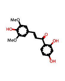 COc1cc(/C=C/C(=O)c2ccc(O)cc2O)cc(OC)c1O